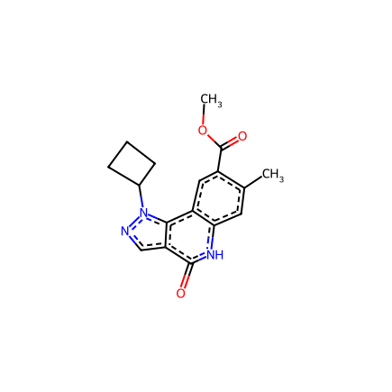 COC(=O)c1cc2c(cc1C)[nH]c(=O)c1cnn(C3CCC3)c12